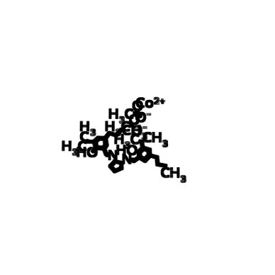 CC(=O)[O-].CC(=O)[O-].CCCCc1cc(C=NC2CCCC2N=Cc2cc(CCCC)cc(C(C)C)c2O)c(O)c(C(C)C)c1.[Co+2]